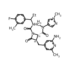 CCC(NC(=O)N1C(=O)[C@H](Cc2cc(C)nc(N)c2)[C@H]1C(=O)N(C)c1cnn(C)c1)c1ccc(F)c(C)c1